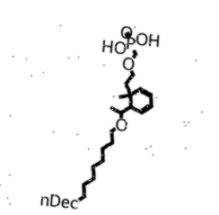 [CH2]C1(CCOCP(=O)(O)O)C=CC=CC1C(C)OCCCCCCCCCCCCCCCCCC